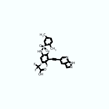 Cc1ccc(C)c(S(=O)(=O)Nc2ccc(F)c(C#Cc3cnc4[nH]ncc4c3)c2F)c1.O=C(O)C(F)(F)F